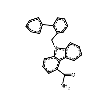 NC(=O)c1cccc2c1c1[c]cccc1n2Cc1ccccc1-c1ccccc1